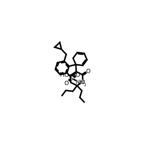 CCCC1(CCC)CC(O)=C(C2(c3c(CC4CC4)cccc3S(N)(=O)=O)C=CC=CC2)C(=O)O1